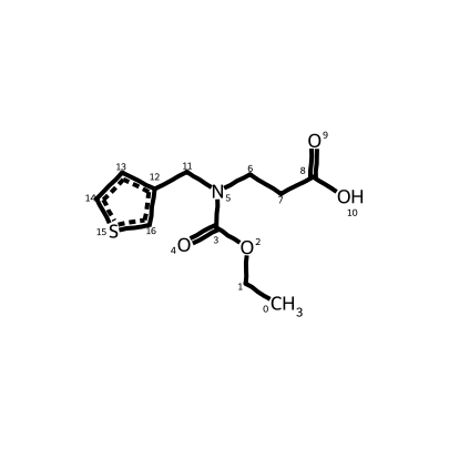 CCOC(=O)N(CCC(=O)O)Cc1ccsc1